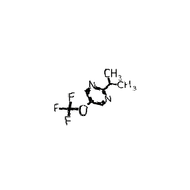 CC(C)c1ncc(OC(F)(F)F)cn1